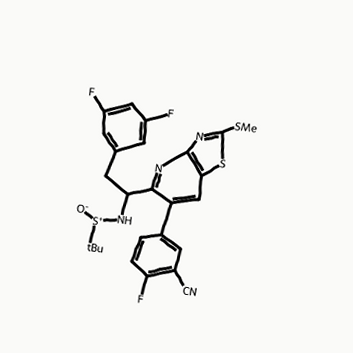 CSc1nc2nc(C(Cc3cc(F)cc(F)c3)N[S+]([O-])C(C)(C)C)c(-c3ccc(F)c(C#N)c3)cc2s1